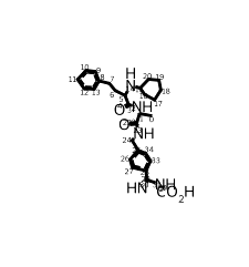 CC(NC(=O)C(CCc1ccccc1)NC1CCCCC1)C(=O)NCc1ccc(C(=N)NC(=O)O)cc1